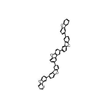 c1ccc2c(c1)oc1ccc(-c3ccc4oc5ccc(-c6ccc7oc8ccc(-c9ccc%10oc%11ccc(-c%12ccc%13oc%14cccnc%14c%13c%12)cc%11c%10c9)cc8c7c6)cc5c4c3)cc12